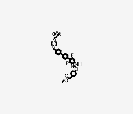 CCOC(=O)CC1CCC(Oc2nc3c(F)c(-c4ccc(-c5ccc(CN6CCN(CCS(C)(=O)=O)CC6)cc5)cc4)c(F)cc3[nH]2)CC1